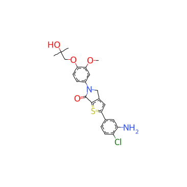 COc1cc(N2Cc3cc(-c4ccc(Cl)c(N)c4)sc3C2=O)ccc1OCC(C)(C)O